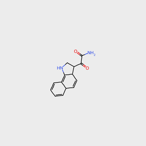 NC(=O)C(=O)C1CNC2=C3C=CC=CC3C=CC21